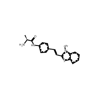 CCC[n+]1c(C=Cc2ccc(NC(=O)[C@H](C)N)cc2)sc2ccccc21